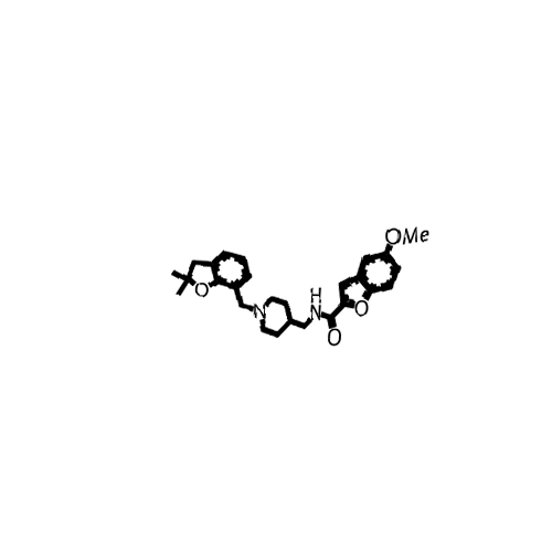 COc1ccc2oc(C(=O)NCC3CCN(Cc4cccc5c4OC(C)(C)C5)CC3)cc2c1